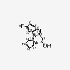 OCCc1nc2ccc(F)cc2n1-c1ccccn1